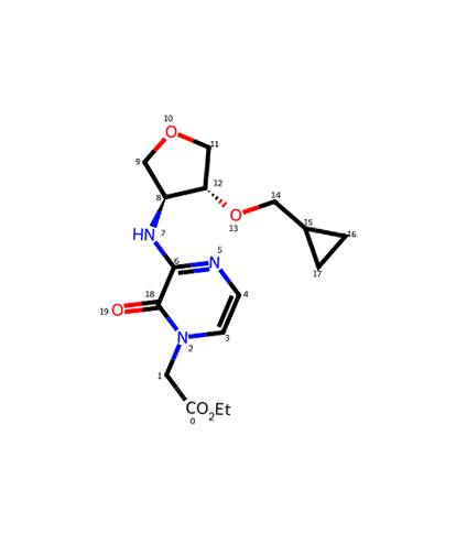 CCOC(=O)Cn1ccnc(N[C@H]2COC[C@@H]2OCC2CC2)c1=O